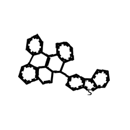 C1=CC2=C(c3ccccc3-c3ccccc3)c3ccccc3C(c3ccc4sc5ccccc5c4c3)C2C=C1